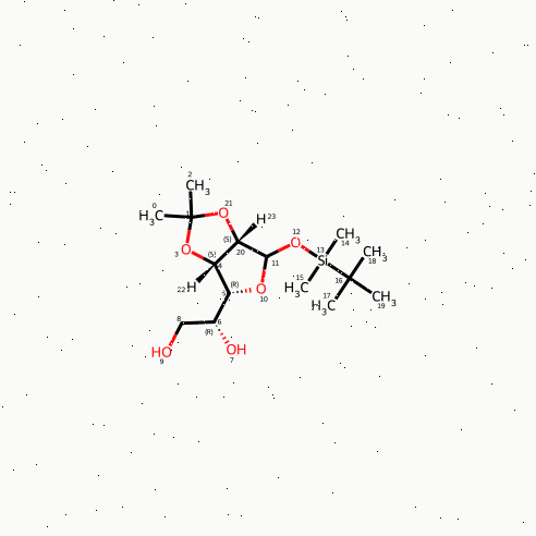 CC1(C)O[C@H]2[C@@H]([C@H](O)CO)OC(O[Si](C)(C)C(C)(C)C)[C@H]2O1